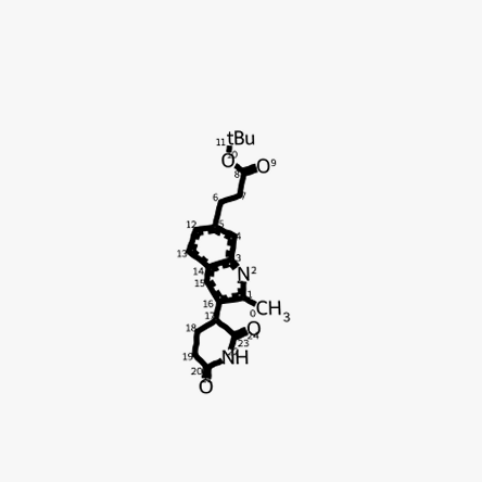 Cc1nc2cc(CCC(=O)OC(C)(C)C)ccc2cc1C1CCC(=O)NC1=O